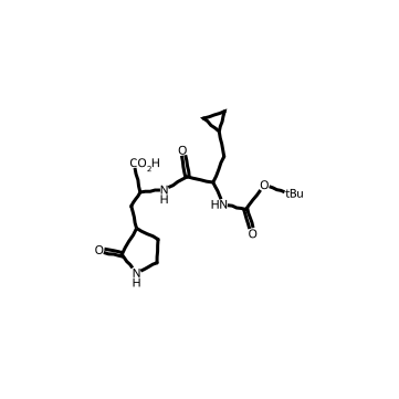 CC(C)(C)OC(=O)NC(CC1CC1)C(=O)NC(CC1CCNC1=O)C(=O)O